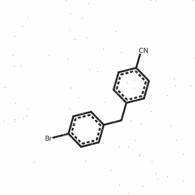 N#Cc1ccc(Cc2ccc(Br)cc2)cc1